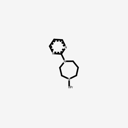 [CH2]CCN1CCCN(c2ncccn2)CC1